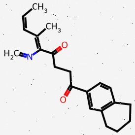 C=N/C(C(=O)CCC(=O)c1ccc2c(c1)CCCC2)=C(C)\C=C/C